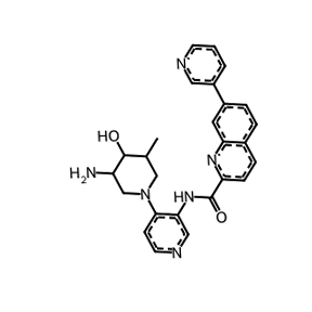 CC1CN(c2ccncc2NC(=O)c2ccc3ccc(-c4cccnc4)cc3n2)CC(N)C1O